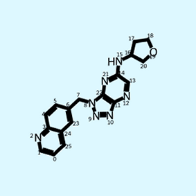 c1cnc2ccc(Cn3nnc4ncc(NC5CCOC5)nc43)cc2c1